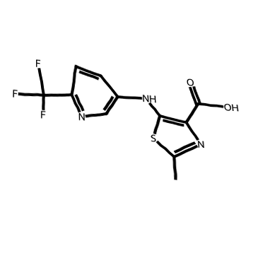 Cc1nc(C(=O)O)c(Nc2ccc(C(F)(F)F)nc2)s1